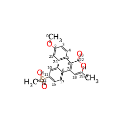 COc1ccc(-c2c(-c3ccc(S(C)(=O)=O)cc3)cc(C)oc2=O)cc1